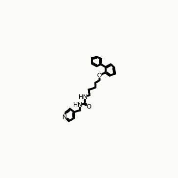 O=C(NCCCCCOc1ccccc1-c1ccccc1)NCc1ccncc1